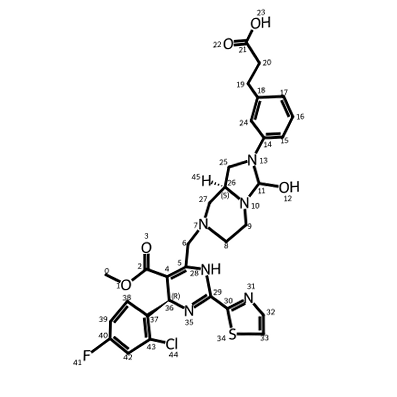 COC(=O)C1=C(CN2CCN3C(O)N(c4cccc(CCC(=O)O)c4)C[C@@H]3C2)NC(c2nccs2)=N[C@H]1c1ccc(F)cc1Cl